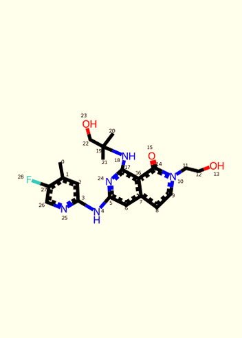 Cc1cc(Nc2cc3ccn(CCO)c(=O)c3c(NC(C)(C)CO)n2)ncc1F